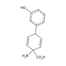 NC1(C(=O)O)C=CC(c2cccc(O)c2)C=C1